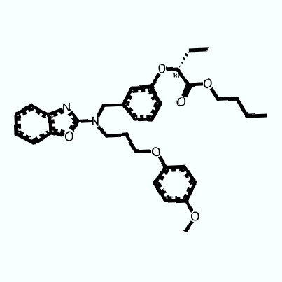 CCCCOC(=O)[C@@H](CC)Oc1cccc(CN(CCCOc2ccc(OC)cc2)c2nc3ccccc3o2)c1